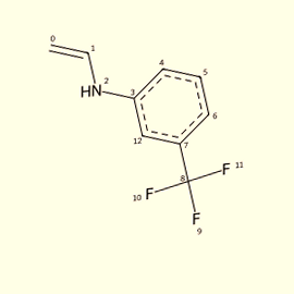 C=CNc1cccc(C(F)(F)F)c1